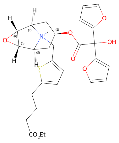 CCOC(=O)CCCc1ccc(C[N+]2(C)[C@@H]3C[C@@H](OC(=O)C(O)(c4ccco4)c4ccco4)C[C@H]2[C@@H]2O[C@@H]23)s1